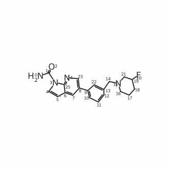 NC(=O)n1c[c]c2cc(-c3cccc(CN4CCCC(F)C4)c3)cnc21